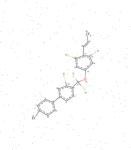 CCc1ccc(-c2ccc(C(F)(F)Oc3cc(F)c(/C=C/C(F)(F)F)c(F)c3)c(F)c2)cc1